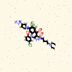 CCN(CC)CCCCNC(=O)c1cn2c3c(c(N4CCC(N)C4)c(F)cc3c1=O)Oc1ccc(Cl)cc1-2